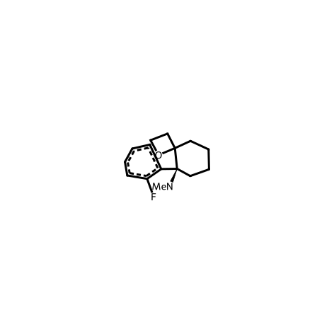 CN[C@]1(c2ccccc2F)CCCCC12CCO2